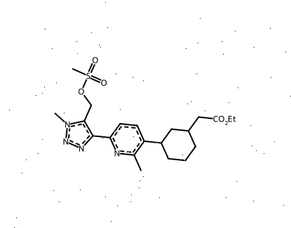 CCOC(=O)CC1CCCC(c2ccc(-c3nnn(C)c3COS(C)(=O)=O)nc2C)C1